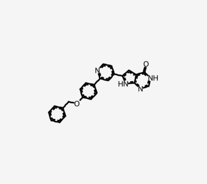 O=c1[nH]cnc2[nH]c(-c3ccnc(-c4ccc(OCc5ccccc5)cc4)c3)cc12